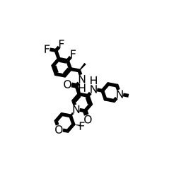 C[C@@H](NC(=O)c1cn([C@@H]2CCOC[C@H]2F)c(=O)cc1NC1CCN(C)CC1)c1cccc(C(F)F)c1F